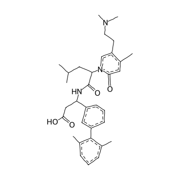 Cc1cc(=O)n(C(CC(C)C)C(=O)NC(CC(=O)O)c2cccc(-c3c(C)cccc3C)c2)cc1CCN(C)C